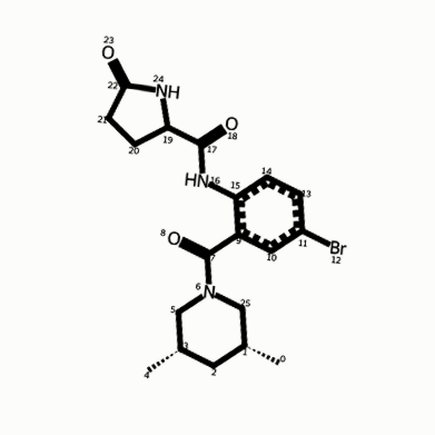 C[C@@H]1C[C@H](C)CN(C(=O)c2cc(Br)ccc2NC(=O)C2CCC(=O)N2)C1